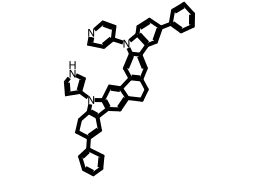 C1=C(c2ccccc2)CCc2c1c1cc3c(cc1n2-c1cc[nH]c1)-c1cc2c(cc1CC3)c1cc(-c3ccccc3)ccc1n2-c1ccncc1